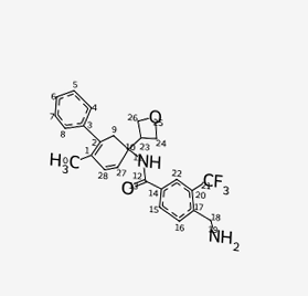 CC1=C(c2ccccc2)CC(NC(=O)c2ccc(CN)c(C(F)(F)F)c2)(C2COC2)C=C1